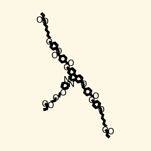 C=CC(=O)OCCCCCCOc1ccc(OC(=O)C2CCC(COc3ccc4c5ccc(OC(=O)C6CCC(C(=O)Oc7ccc(OCCCCCCOC(=O)C=C)cc7)CC6)cc5c5nc6ccc(OCCOCCOC(=O)C=C)cc6nc5c4c3)CC2)cc1